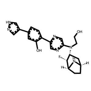 OCCN(c1cnc(-c2ccc(-c3cn[nH]c3)cc2O)cn1)[C@@H]1C[C@H]2CC[C@H](N2)[C@@H]1F